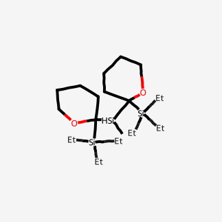 CC[Si](CC)(CC)C1([SiH](C)C2([Si](CC)(CC)CC)CCCCO2)CCCCO1